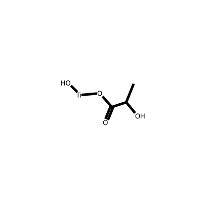 CC(O)C(=O)[O][Ti][OH]